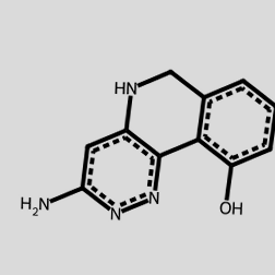 Nc1cc2c(nn1)-c1c(O)cccc1CN2